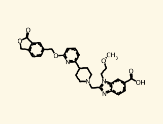 COCCn1c(CN2CCC(c3cccc(OCc4ccc5c(c4)C(=O)OC5)n3)CC2)nc2ccc(C(=O)O)cc21